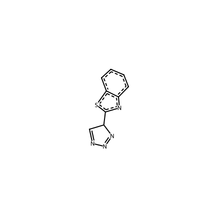 C1=NN=NC1c1nc2ccccc2s1